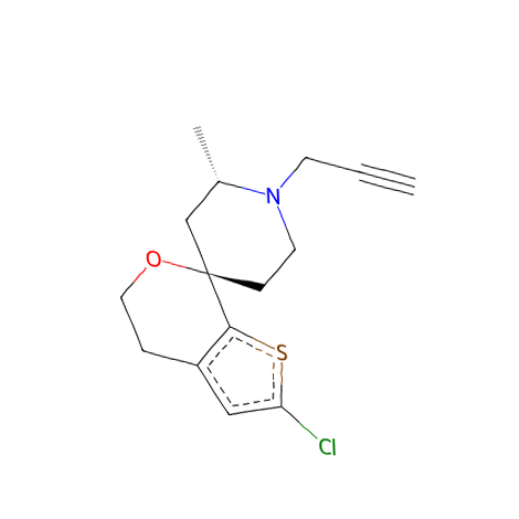 C#CCN1CC[C@]2(C[C@@H]1C)OCCc1cc(Cl)sc12